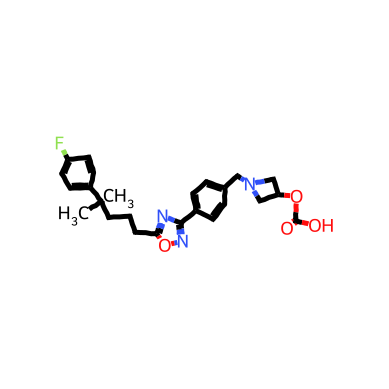 CC(C)(CCCc1nc(-c2ccc(CN3CC(OC(=O)O)C3)cc2)no1)c1ccc(F)cc1